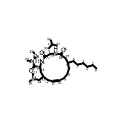 CCCCCCC1CCC/C=C\CC(CN(C)C)C[C@@H](C(=O)N(C)OC)NC(=O)[C@H](CC(C)C)NC(=O)C1